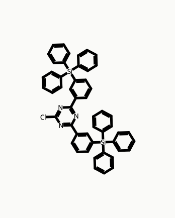 Clc1nc(-c2cccc([Si](c3ccccc3)(c3ccccc3)c3ccccc3)c2)nc(-c2cccc([Si](c3ccccc3)(c3ccccc3)c3ccccc3)c2)n1